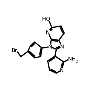 Nc1ncccc1-c1nc2ccc(O)nc2n1-c1ccc(CBr)cc1